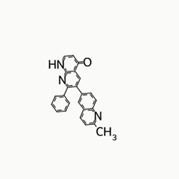 Cc1ccc2cc(-c3cc4c(=O)cc[nH]c4nc3-c3ccccc3)ccc2n1